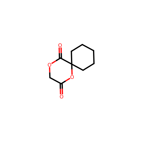 O=C1COC(=O)C2(CCCCC2)O1